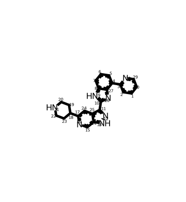 c1ccc(-c2cccc3[nH]c(-c4n[nH]c5cnc(C6CCNCC6)cc45)nc23)nc1